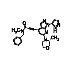 C[C@@H]1COCCN1c1cc(C#CC(=O)N(C)Cc2ccccc2)c2cnn(-c3ccn[nH]3)c2n1